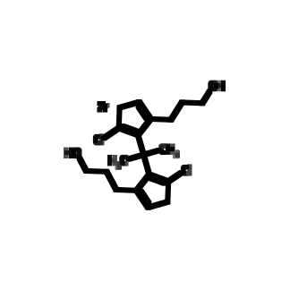 CC(C)(C1=C(Cl)CC=C1CCCO)C1=C(Cl)CC=C1CCCO.[Zr]